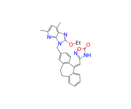 CCOc1nc2c(C)cc(C)nc2n1Cc1ccc2c(c1)CCc1ccccc1/C2=C/c1noc(=O)[nH]1